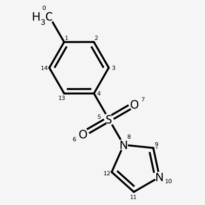 Cc1ccc(S(=O)(=O)n2[c]ncc2)cc1